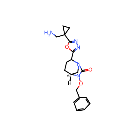 NCC1(c2nnc(C3CC[C@@H]4CN3C(=O)N4OCc3ccccc3)o2)CC1